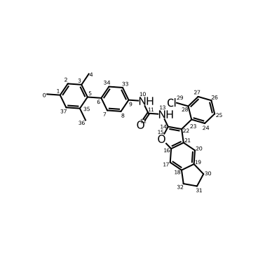 Cc1cc(C)c(-c2ccc(NC(=O)Nc3oc4cc5c(cc4c3-c3ccccc3Cl)CCC5)cc2)c(C)c1